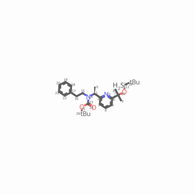 C[C@@H](c1cccc(C(C)(C)O[SiH2]C(C)(C)C)n1)N(CCc1ccccc1)C(=O)OC(C)(C)C